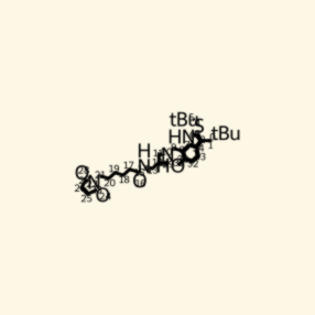 CC(C)(C)Cc1c(SC(C)(C)C)[nH]c2c(CN3CC(CNC(=O)CCCCCN4C(=O)C=CC4=O)C3)c(O)ccc12